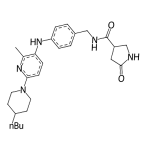 CCCCC1CCN(c2ccc(Nc3ccc(CNC(=O)C4CNC(=O)C4)cc3)c(C)n2)CC1